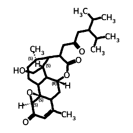 CC1=CC(=O)[C@H]2O[C@@]23C1C[C@H]1OC(=O)C(CC(=O)CC(C(C)C)C(C)C)C2[C@H](CO)C1C3CC[C@@H]2C